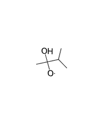 CC(C)C(C)([O])O